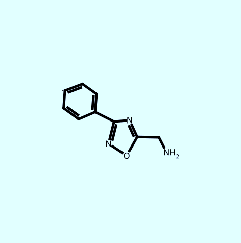 NCc1nc(-c2cc[c]cc2)no1